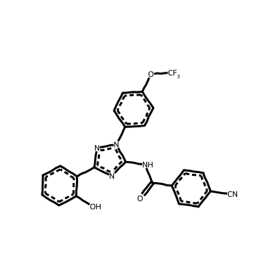 N#Cc1ccc(C(=O)Nc2nc(-c3ccccc3O)nn2-c2ccc(OC(F)(F)F)cc2)cc1